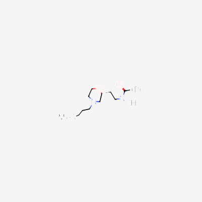 CSCCCN1CCO[C@@H](CCN(C)C(=O)C(C)(C)C)C1